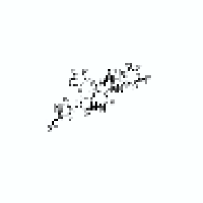 Cn1cc(-c2cc3c(N[C@H]4CCOC4)c(/C(N)=N/c4cc(F)ccc4Cl)cnn3c2)cn1